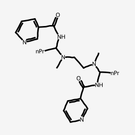 CCCC(NC(=O)c1cccnc1)N(C)CCN(C)C(CCC)NC(=O)c1cccnc1